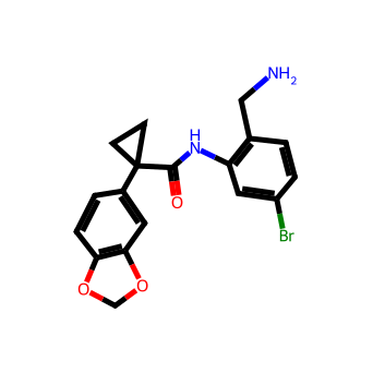 NCc1ccc(Br)cc1NC(=O)C1(c2ccc3c(c2)OCO3)CC1